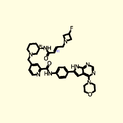 O=C(/C=C/CN1CC(F)C1)N[C@@H]1CCCN(Cc2ccnc(C(=O)Nc3ccc(-c4cc5c(N6CCOCC6)ncnc5[nH]4)cc3)c2)C1